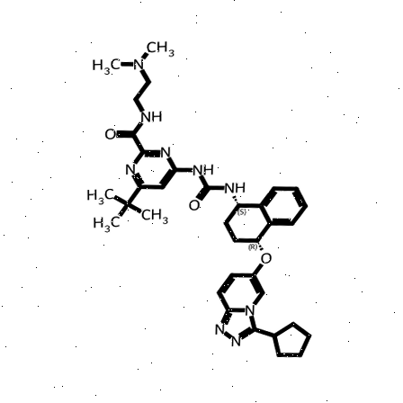 CN(C)CCNC(=O)c1nc(NC(=O)N[C@H]2CC[C@@H](Oc3ccc4nnc(C5CCCC5)n4c3)c3ccccc32)cc(C(C)(C)C)n1